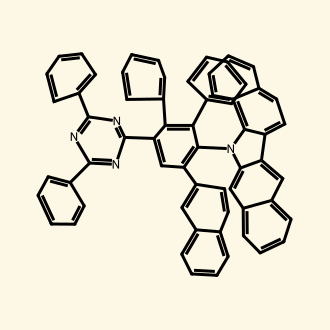 c1ccc(-c2nc(-c3ccccc3)nc(-c3cc(-c4ccc5ccccc5c4)c(-n4c5cc6ccccc6cc5c5ccc6ccccc6c54)c(-c4ccccc4)c3-c3ccccc3)n2)cc1